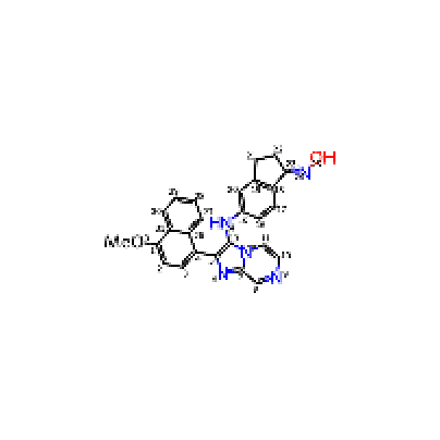 COc1ccc(-c2nc3cnccn3c2Nc2ccc3c(c2)CC/C3=N\O)c2ccccc12